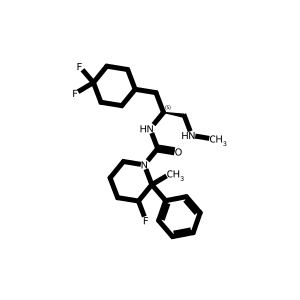 CNC[C@H](CC1CCC(F)(F)CC1)NC(=O)N1CCCC(F)C1(C)c1ccccc1